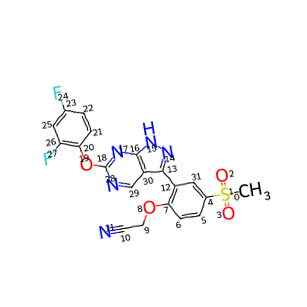 CS(=O)(=O)c1ccc(OCC#N)c(-c2n[nH]c3nc(Oc4ccc(F)cc4F)ncc23)c1